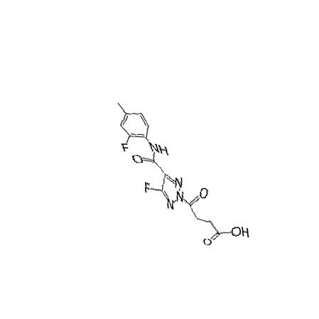 Cc1ccc(NC(=O)c2nn(C(=O)CCC(=O)O)nc2F)c(F)c1